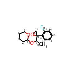 C[C@@H](OC1CCCCO1)C1(c2ccccc2F)CO1